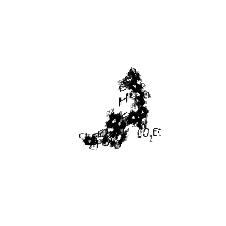 CCOC(=O)C1=NOC(c2ccccc2)(c2ccccc2)C1.CCc1cc(C)cc(CC)c1-c1c(OC(=O)C(C)(C)C)n2n(c1=O)CCOCC2.Cc1c(C(=O)c2cnn(C)c2O)ccc(S(C)(=O)=O)c1C1=NOCC1.O=C(O)c1nc(Cl)ccc1Cl